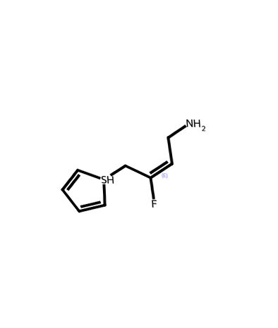 NC/C=C(/F)C[SH]1C=CC=C1